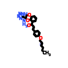 CCC/C=C/COc1ccc(C=CC(=O)c2cccc3c2OC(N)(c2nnn[nH]2)CO3)cc1